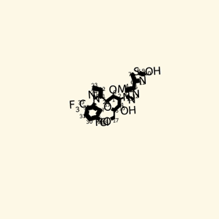 CO[C@@H]1[C@@H](n2cc(-c3csc(O)n3)nn2)[C@@H](O)[C@@H](CO)O[C@H]1c1ccnn1-c1cc(Cl)ccc1C(F)(F)F